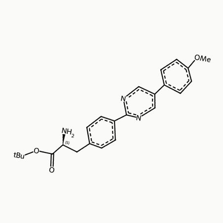 COc1ccc(-c2cnc(-c3ccc(C[C@H](N)C(=O)OC(C)(C)C)cc3)nc2)cc1